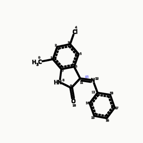 Cc1cc(Cl)cc2c1NC(=O)/C2=N\c1ccccc1